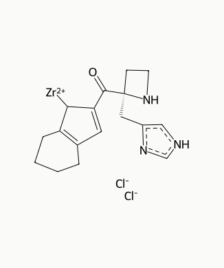 O=C(C1=CC2=C(CCCC2)[CH]1[Zr+2])[C@@]1(Cc2c[nH]cn2)CCN1.[Cl-].[Cl-]